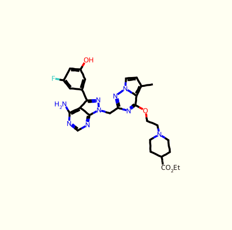 CCOC(=O)C1CCN(CCOc2nc(Cn3nc(-c4cc(O)cc(F)c4)c4c(N)ncnc43)nn3ccc(C)c23)CC1